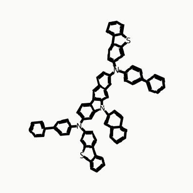 c1ccc(-c2ccc(N(c3ccc4cc5c6ccc(N(c7ccc(-c8ccccc8)cc7)c7ccc8c(c7)sc7ccccc78)cc6n(-c6ccc7ccccc7c6)c5cc4c3)c3ccc4c(c3)sc3ccccc34)cc2)cc1